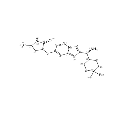 N[C@H](c1cn2ncc(CC3CC(C(F)(F)F)NC3=O)cc2n1)C1CCC(F)(F)CC1